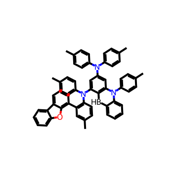 Cc1ccc(N(c2ccc(C)cc2)c2cc3c(c(N(c4ccc(C)cc4)c4ccc(C)cc4-c4cccc5c4oc4ccccc45)c2)Bc2ccccc2N3c2ccc(C)cc2)cc1